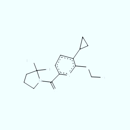 CC(C)CSc1nc(C(=O)N2CCCC2(C)C)ccc1C1CC1